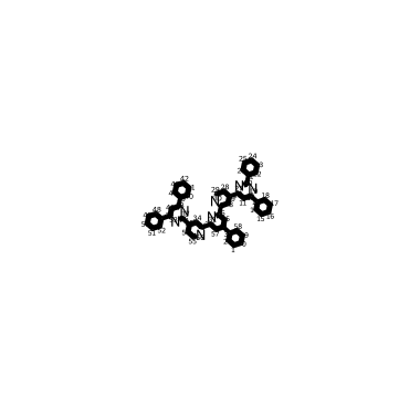 c1ccc(-c2cc(-c3cc(-c4cc(-c5ccccc5)nc(-c5ccccc5)n4)ccn3)nc(-c3cc(-c4nc(-c5ccccc5)cc(-c5ccccc5)n4)ccn3)c2)cc1